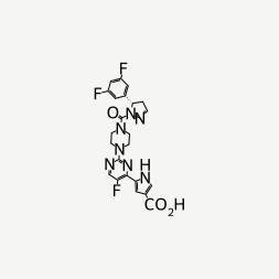 O=C(O)c1c[nH]c(-c2nc(N3CCN(C(=O)N4N=CC[C@H]4c4cc(F)cc(F)c4)CC3)ncc2F)c1